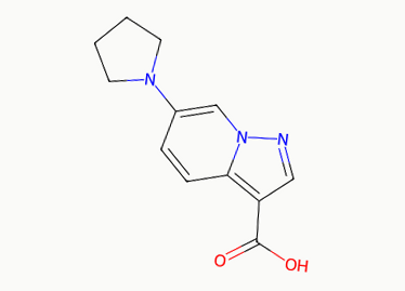 O=C(O)c1cnn2cc(N3CCCC3)ccc12